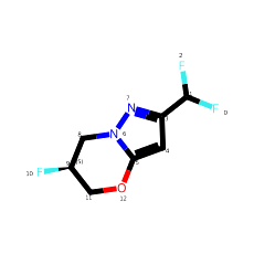 FC(F)c1cc2n(n1)C[C@H](F)CO2